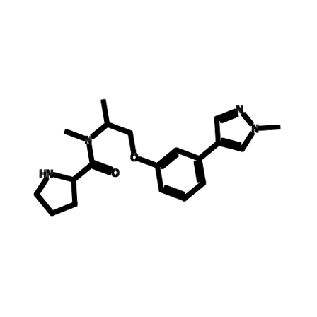 CC(COc1c[c]cc(-c2cnn(C)c2)c1)N(C)C(=O)C1CCCN1